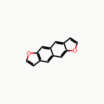 c1cc2cc3cc4occc4cc3cc2o1